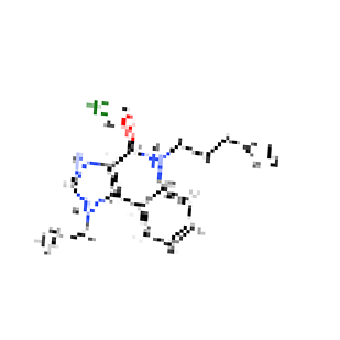 CCCCn1c(=O)c2ncn(CC)c2c2ccccc21.Cl